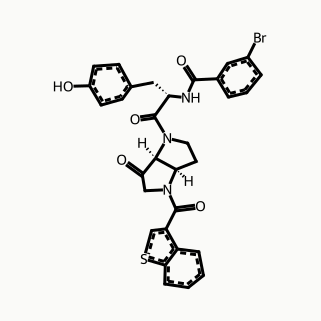 O=C(N[C@@H](Cc1ccc(O)cc1)C(=O)N1CC[C@@H]2[C@H]1C(=O)CN2C(=O)c1csc2ccccc12)c1cccc(Br)c1